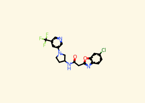 O=C(Cc1nc2ccc(Cl)cc2o1)NC1CCN(c2cncc(C(F)(F)F)c2)C1